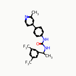 Cc1cc(-c2ccc(NC(=O)NC(C)c3cc(C(F)(F)F)cc(C(F)(F)F)c3)cc2)ccn1